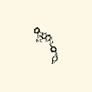 CN1CCN(Cc2ccc(COc3nccc(/C(C#N)=C4\Nc5ccccc5S4)n3)cc2)CC1